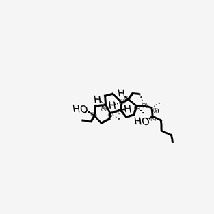 CCCC[C@@H](O)[C@@H](C)[C@H]1CC[C@H]2[C@@H]3CC[C@@H]4C[C@@](O)(CC)CC[C@]4(C)[C@H]3CC[C@]12C